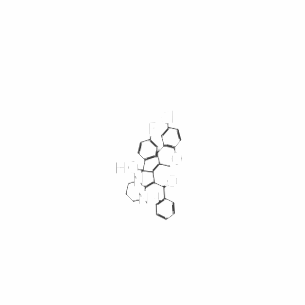 O=C(C1=C2NCCCN2C(O)(c2ccc(F)cc2)/C1=C1/COc2ccc(Cl)cc2C1)c1ccccc1